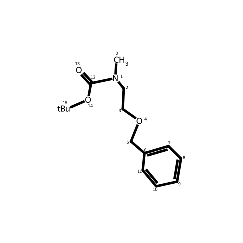 CN(CCOCc1ccccc1)C(=O)OC(C)(C)C